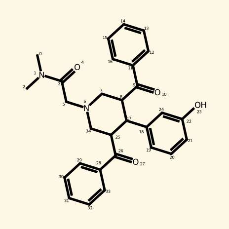 CN(C)C(=O)CN1CC(C(=O)c2ccccc2)C(c2cccc(O)c2)C(C(=O)c2ccccc2)C1